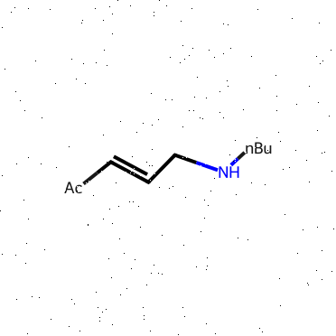 CCCCNCC=CC(C)=O